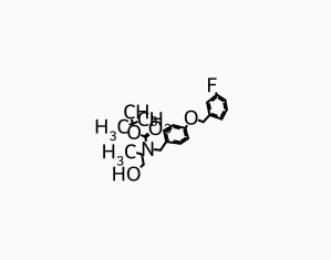 CC(CO)N(Cc1ccc(OCc2cccc(F)c2)cc1)C(=O)OC(C)(C)C